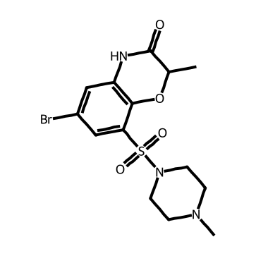 CC1Oc2c(cc(Br)cc2S(=O)(=O)N2CCN(C)CC2)NC1=O